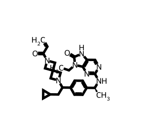 C=CC(=O)N1CC2(C1)CN(C(CC1CC1)c1ccc([C@H](C)Nc3ncc4[nH]c(=O)n(CC)c4n3)cc1)C2